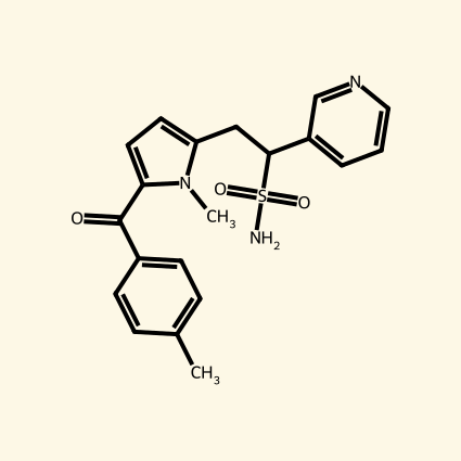 Cc1ccc(C(=O)c2ccc(CC(c3cccnc3)S(N)(=O)=O)n2C)cc1